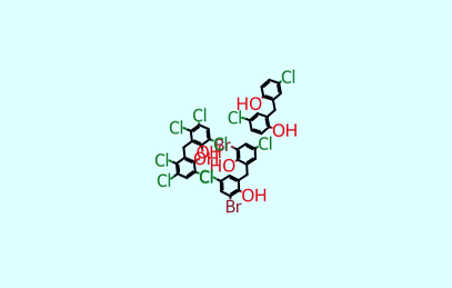 Oc1c(Br)cc(Cl)cc1Cc1cc(Cl)cc(Br)c1O.Oc1c(Cl)cc(Cl)c(Cl)c1Cc1c(O)c(Cl)cc(Cl)c1Cl.Oc1ccc(Cl)cc1Cc1cc(Cl)ccc1O